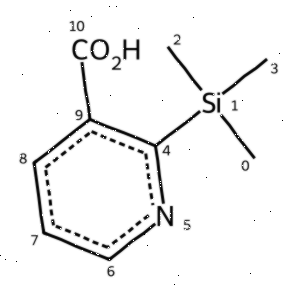 C[Si](C)(C)c1ncccc1C(=O)O